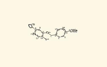 COc1ccc(COc2cc(Cl)ncc2I)cc1